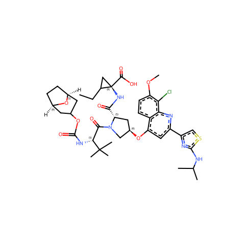 CCC1C[C@]1(NC(=O)[C@@H]1C[C@@H](Oc2cc(-c3csc(NC(C)C)n3)nc3c(Cl)c(OC)ccc23)CN1C(=O)[C@@H](NC(=O)OC1C[C@H]2CC[C@@H](C1)O2)C(C)(C)C)C(=O)O